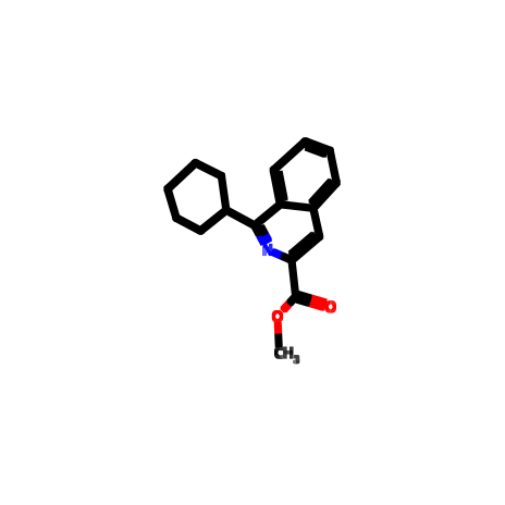 COC(=O)c1cc2ccccc2c(C2CCCCC2)n1